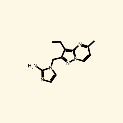 CCc1c(Cn2ccnc2N)nn2ccc(C)nc12